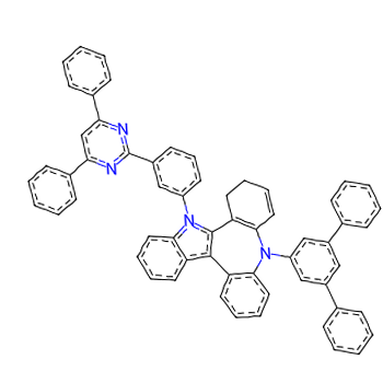 C1=CC2=C(CC1)c1c(c3ccccc3n1-c1cccc(-c3nc(-c4ccccc4)cc(-c4ccccc4)n3)c1)-c1ccccc1N2c1cc(-c2ccccc2)cc(-c2ccccc2)c1